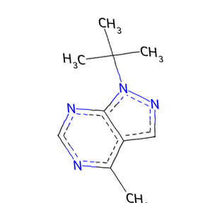 Cc1ncnc2c1cnn2C(C)(C)C